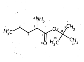 CCC[C@H](N)C(=O)OC(C)(C)C